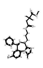 COC(=O)C(C)(C)CC(=O)OCCC[C@@H]1N=C(c2ccccn2)c2cc(Br)ccc2-n2c(C)cnc21